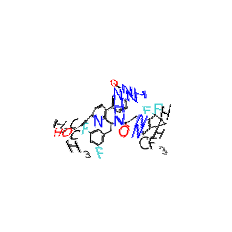 CC(C)(O)C#Cc1ccc(-c2ccc3n[nH]c(=O)n3c2)c([C@H](Cc2cc(F)cc(F)c2)NC(=O)Cn2nc(C(F)(F)F)c3c2C(F)(F)[C@@H]2C[C@H]32)n1